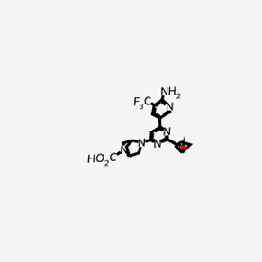 Nc1ncc(-c2cc(N3CC4CC3CN4C(=O)O)nc(N3CC4CC3C4)n2)cc1C(F)(F)F